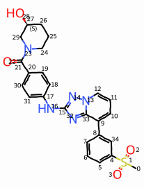 CS(=O)(=O)c1cccc(-c2cccn3nc(Nc4ccc(C(=O)N5CCC[C@H](O)C5)cc4)nc23)c1